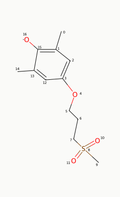 Cc1cc(OCCCS(C)(=O)=O)cc(C)c1[O]